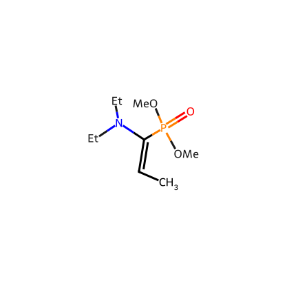 CC=C(N(CC)CC)P(=O)(OC)OC